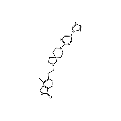 Cc1c(CCN2CCC3(CCN(c4ncc(-n5cnnn5)cn4)CC3)C2)ccc2c1COC2=O